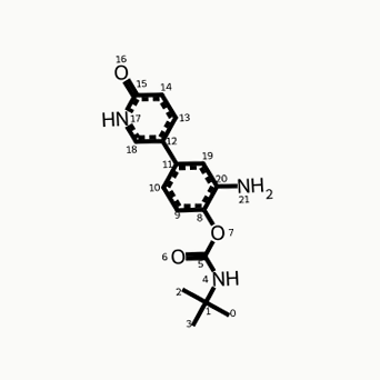 CC(C)(C)NC(=O)Oc1ccc(-c2ccc(=O)[nH]c2)cc1N